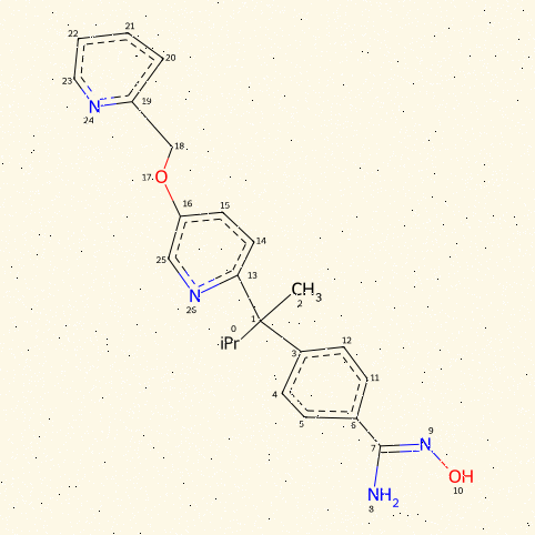 CC(C)C(C)(c1ccc(/C(N)=N/O)cc1)c1ccc(OCc2ccccn2)cn1